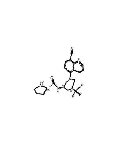 N#Cc1ccc(N2C[C@H](NC(=O)[C@@H]3CCCN3)C[C@H](C(F)(F)F)C2)c2cccnc12